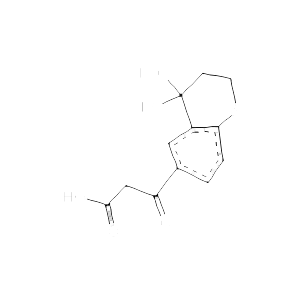 CC1(C)CCSc2ccc(C(=O)CC(=O)O)cc21